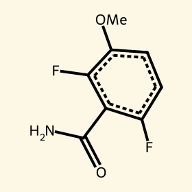 COc1ccc(F)c(C(N)=O)c1F